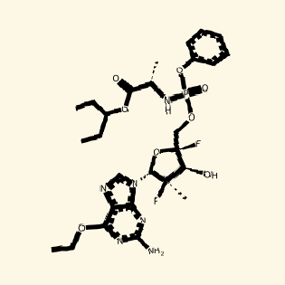 CCOc1nc(N)nc2c1ncn2[C@@H]1O[C@](F)(COP(=O)(N[C@@H](C)C(=O)OC(CC)CC)Oc2ccccc2)[C@@H](O)[C@@]1(C)F